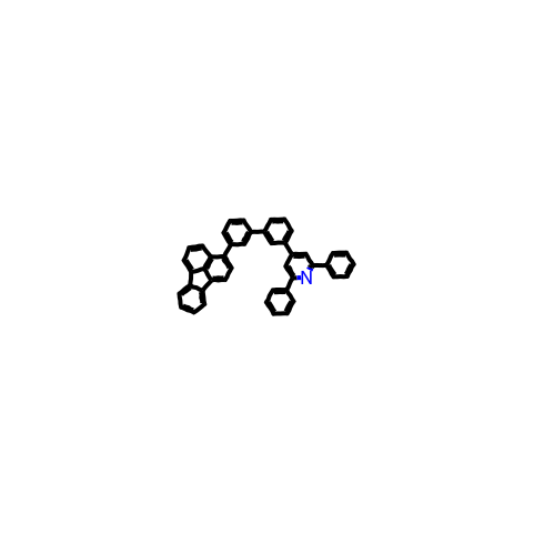 c1ccc(-c2cc(-c3cccc(-c4cccc(-c5ccc6c7c(cccc57)-c5ccccc5-6)c4)c3)cc(-c3ccccc3)n2)cc1